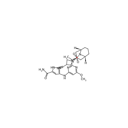 COc1cc(Nc2cc(C(N)=O)[nH]n2)nc(N(C)[C@@H]2C[C@H]3CCC[C@@H](C2)N3S(=O)(=O)N2CC(C#N)C2)n1